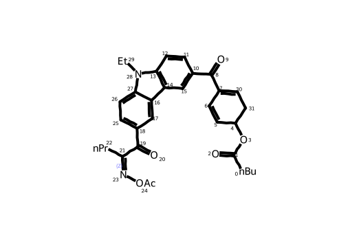 CCCCC(=O)OC1C=CC(C(=O)c2ccc3c(c2)c2cc(C(=O)/C(CCC)=N\OC(C)=O)ccc2n3CC)=CC1